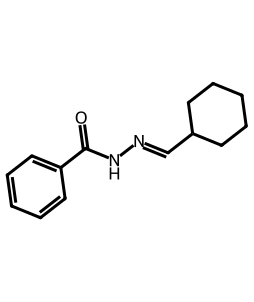 O=C(NN=CC1CCCCC1)c1ccccc1